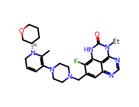 CCN1C(=O)Nc2c(F)c(CN3CCN(C4=C(C)N([C@H]5CCCOC5)CC=C4)CC3)cc3ncnc1c23